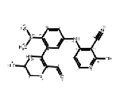 CC1CSC(C=O)=C(c2cc(Nc3ccnc(Cl)c3C#N)ccc2N(C)C)N1